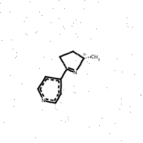 C[C@H]1CCC(c2ccncc2)=N1